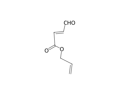 C=CCOC(=O)C=CC=O